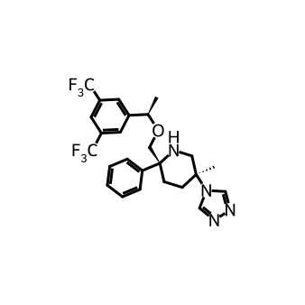 C[C@@H](OC[C@]1(c2ccccc2)CC[C@](C)(n2cnnc2)CN1)c1cc(C(F)(F)F)cc(C(F)(F)F)c1